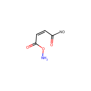 NOC(=O)/C=C\C(=O)N=O